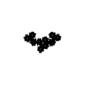 c1cc(-c2cccc(-n3c4ccccc4c4ccc5c(c6ccccc6n5-c5cccc(-n6c7ccccc7c7ccccc76)n5)c43)n2)nc(-n2c3ccccc3c3ccccc32)c1